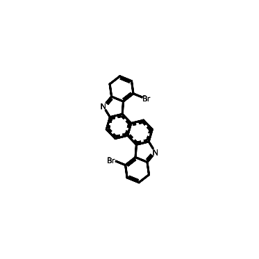 BrC1=C2C(=Nc3ccc4c5c(ccc4c32)N=C2CC=CC(Br)=C25)CC=C1